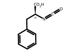 O=C=N[C@@H](Cc1ccccc1)C(=O)O